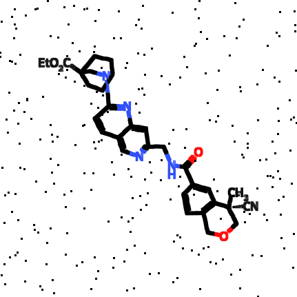 CCOC(=O)C12CCC(CC1)N(c1ccc3cnc(CNC(=O)c4ccc5c(c4)[C@](C)(C#N)COC5)cc3n1)C2